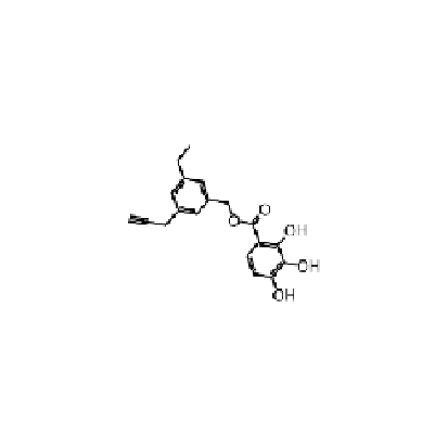 C#CCc1cc(CC)cc(COC(=O)c2ccc(O)c(O)c2O)c1